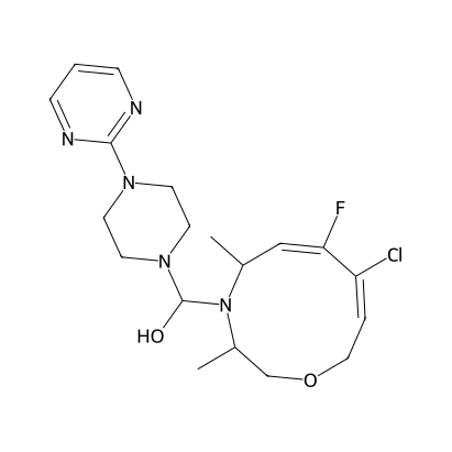 CC1/C=C(F)\C(Cl)=C/COCC(C)N1C(O)N1CCN(c2ncccn2)CC1